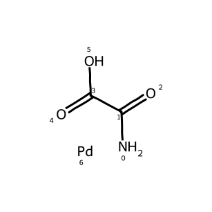 NC(=O)C(=O)O.[Pd]